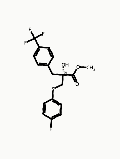 COC(=O)[C@@](O)(CSc1ccc(F)cc1)Cc1ccc(C(F)(F)F)cc1